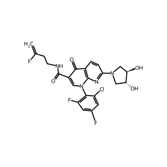 C=C(F)CCNC(=O)c1cn(-c2c(F)cc(F)cc2Cl)c2nc(N3C[C@@H](O)[C@H](O)C3)ccc2c1=O